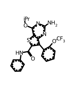 CC(C)Oc1nc(N)nc2c(-c3ccccc3OC(F)(F)F)c(C(=O)Nc3ccccc3)sc12